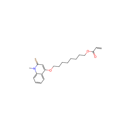 C=CC(=O)OCCCCCCCCOc1cc(=S)n(C)c2ccccc12